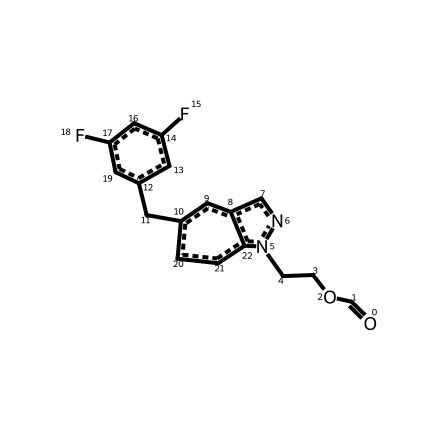 O=COCCn1ncc2cc(Cc3cc(F)cc(F)c3)ccc21